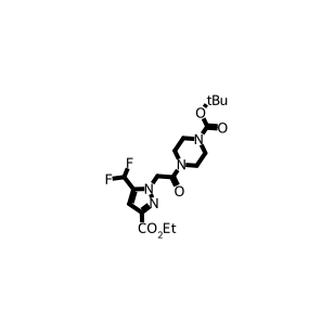 CCOC(=O)c1cc(C(F)F)n(CC(=O)N2CCN(C(=O)OC(C)(C)C)CC2)n1